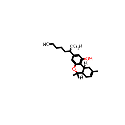 CC1=CC[C@@H]2[C@@H](C1)c1c(O)cc(C(CCCCC#N)C(=O)O)cc1OC2(C)C